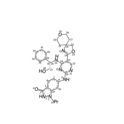 CC(C)n1[nH]c(=O)c2ccc(Nc3ncc(C4=NC5(CCOCC5)CO4)c(N[C@H](CO)c4ccccc4)n3)cc21